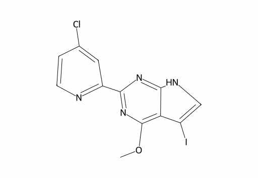 COc1nc(-c2cc(Cl)ccn2)nc2[nH]cc(I)c12